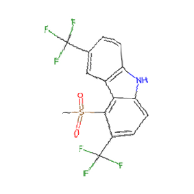 CS(=O)(=O)c1c(C(F)(F)F)ccc2[nH]c3ccc(C(F)(F)F)cc3c12